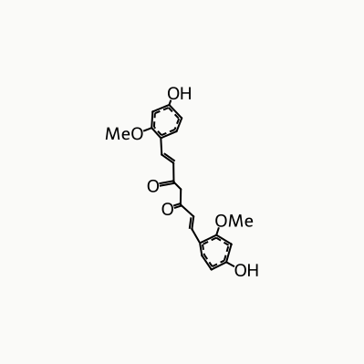 COc1cc(O)ccc1C=CC(=O)CC(=O)C=Cc1ccc(O)cc1OC